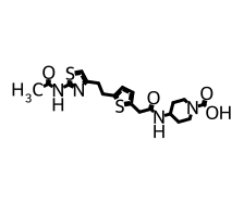 CC(=O)Nc1nc(CCc2ccc(CC(=O)NC3CCN(C(=O)O)CC3)s2)cs1